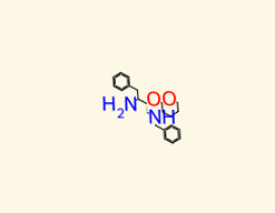 NC(Cc1ccccc1)[C@@H](CNCc1ccccc1)OC1CCCCO1